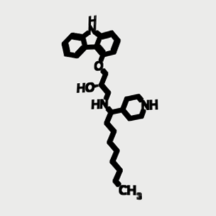 CCCCCCCCC(NC[C@H](O)COc1cccc2[nH]c3ccccc3c12)C1CCNCC1